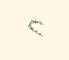 CN(C)C1CN(C2CCN(C3CCN(C(=O)Nc4cc(Oc5ccc(NC(=S)NC(=O)Cc6ccc(F)cc6)c(F)c5)ccn4)CC3)CC2)C1